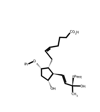 CCCCC[C@](C)(O)/C=C/[C@@H]1[C@@H](C/C=C\CCCC(=O)O)[C@@H](OC(C)C)C[C@H]1O